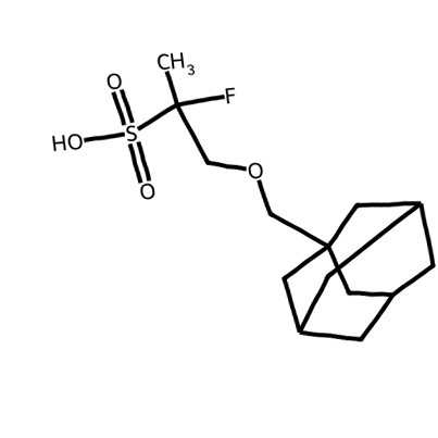 CC(F)(COCC12CC3CC(CC(C3)C1)C2)S(=O)(=O)O